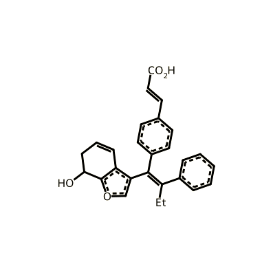 CC/C(=C(/c1ccc(/C=C/C(=O)O)cc1)c1coc2c1C=CCC2O)c1ccccc1